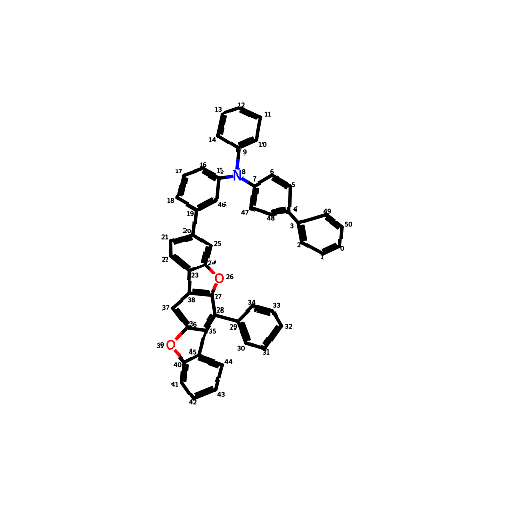 c1ccc(-c2ccc(N(c3ccccc3)c3cccc(-c4ccc5c(c4)oc4c(-c6ccccc6)c6c(cc45)oc4ccccc46)c3)cc2)cc1